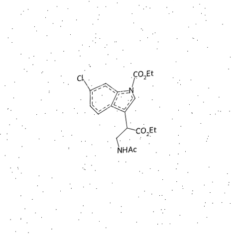 CCOC(=O)C(CNC(C)=O)c1cn(C(=O)OCC)c2cc(Cl)ccc12